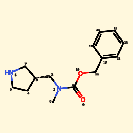 CN(C[C@@H]1CCNC1)C(=O)OCc1ccccc1